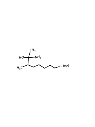 CCCCCCCCCCCCC(C)C(C)(N)O